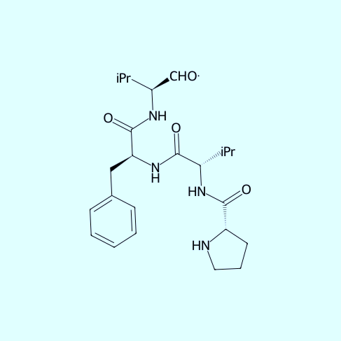 CC(C)[C@H](NC(=O)[C@@H]1CCCN1)C(=O)N[C@@H](Cc1ccccc1)C(=O)N[C@H]([C]=O)C(C)C